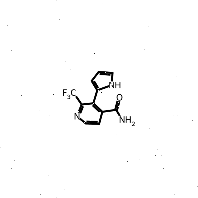 NC(=O)c1ccnc(C(F)(F)F)c1-c1ccc[nH]1